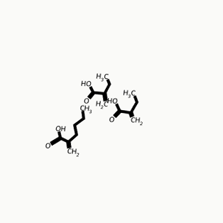 C=C(CC)C(=O)O.C=C(CC)C(=O)O.C=C(CCCC)C(=O)O